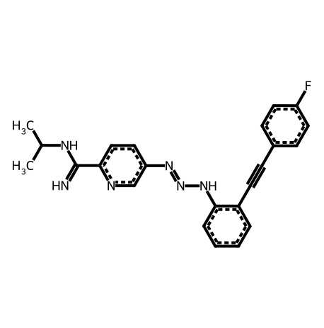 CC(C)NC(=N)c1ccc(/N=N/Nc2ccccc2C#Cc2ccc(F)cc2)cn1